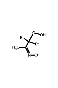 CCN=C(C)C(CC)(CC)OO